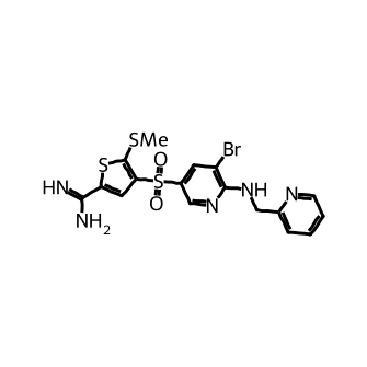 CSc1sc(C(=N)N)cc1S(=O)(=O)c1cnc(NCc2ccccn2)c(Br)c1